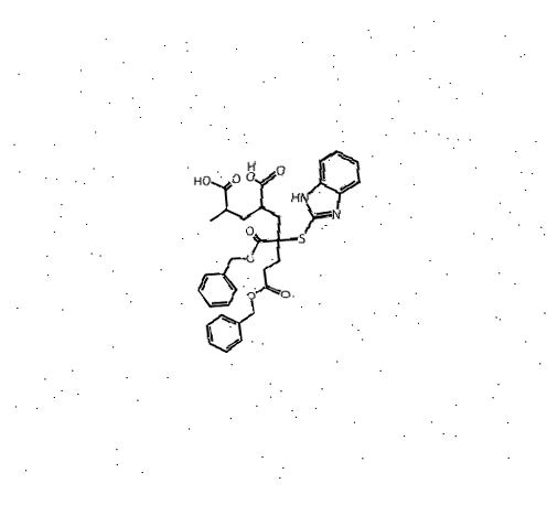 CC(CC(CC(CCC(=O)OCc1ccccc1)(Sc1nc2ccccc2[nH]1)C(=O)OCc1ccccc1)C(=O)O)C(=O)O